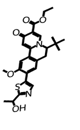 CCOC(=O)c1cn2c(cc1=O)-c1cc(OC)c(-c3cnc(C(C)O)s3)cc1CC2C(C)(C)C